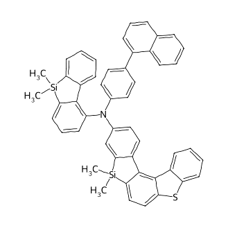 C[Si]1(C)c2ccccc2-c2c(N(c3ccc(-c4cccc5ccccc45)cc3)c3ccc4c(c3)[Si](C)(C)c3ccc5sc6ccccc6c5c3-4)cccc21